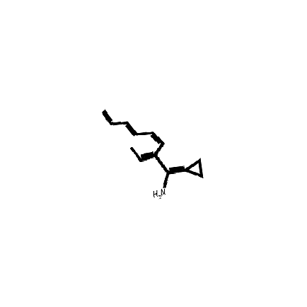 C=C/C=C/C=C\C(=C/C)C(N)=C1CC1